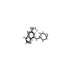 Nc1cc(CN2CCOCC2)c2nccn2n1